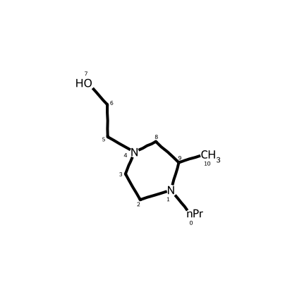 CCCN1CCN(CCO)CC1C